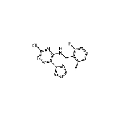 Fc1cccc(F)c1CNc1nc(Cl)ncc1-c1nccs1